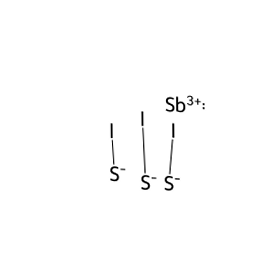 [S-]I.[S-]I.[S-]I.[Sb+3]